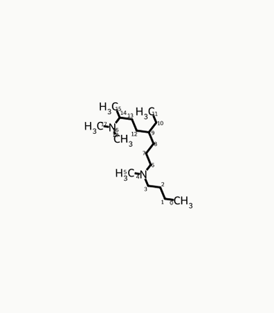 CCCCN(C)CCCC(CC)CCC(C)N(C)C